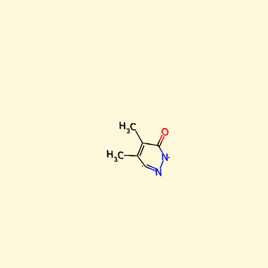 CC1=C(C)C(=O)[N]N=[C]1